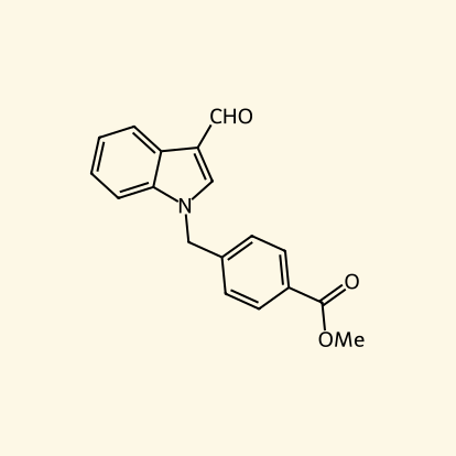 COC(=O)c1ccc(Cn2cc(C=O)c3ccccc32)cc1